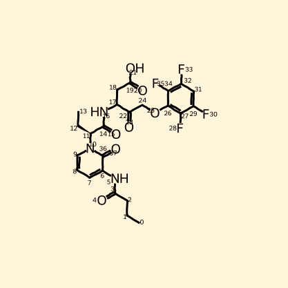 CCCC(=O)Nc1cccn([C@@H](CC)C(=O)NC(CC(=O)O)C(=O)COc2c(F)c(F)cc(F)c2F)c1=O